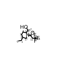 CCC1CCC([C@H](C)O)N(C(=O)CC(F)(F)F)C1